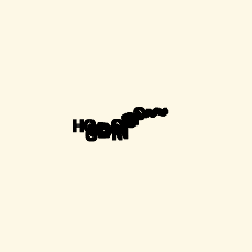 CCCCCCOc1ccc(-c2nnc(-c3ccc(C(=O)O)cc3)o2)cc1